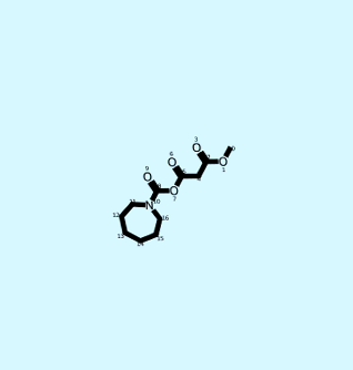 COC(=O)CC(=O)OC(=O)N1CCCCCC1